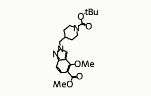 COC(=O)c1ccc2nn(CC3CCN(C(=O)OC(C)(C)C)CC3)cc2c1OC